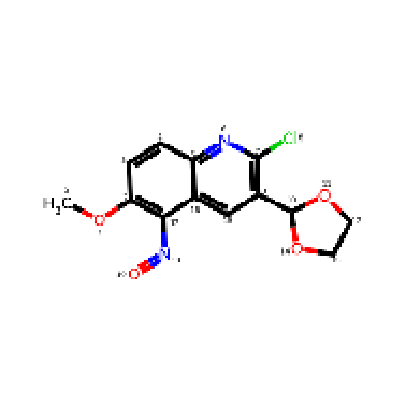 COc1ccc2nc(Cl)c(C3OCCO3)cc2c1N=O